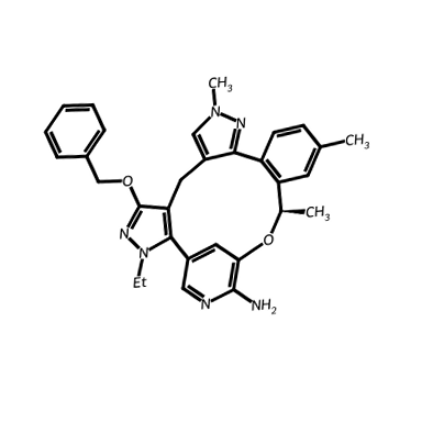 CCn1nc(OCc2ccccc2)c2c1-c1cnc(N)c(c1)O[C@H](C)c1cc(C)ccc1-c1nn(C)cc1C2